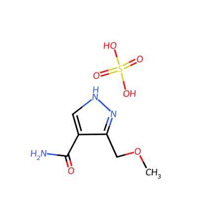 COCc1n[nH]cc1C(N)=O.O=S(=O)(O)O